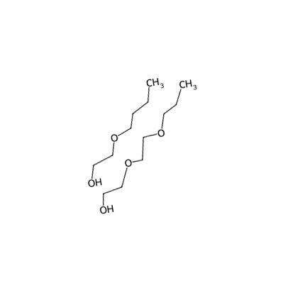 CCCCOCCO.CCCOCCOCCO